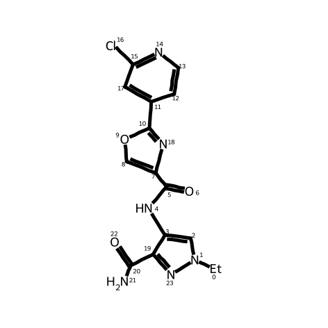 CCn1cc(NC(=O)c2coc(-c3ccnc(Cl)c3)n2)c(C(N)=O)n1